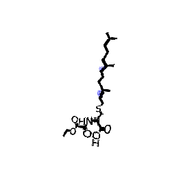 CCOC(=O)C(=O)N[C@@H](CSC/C=C(\C)CC/C=C(\C)CCC=C(C)C)C(=O)O